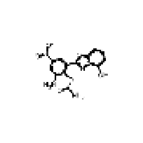 NC(=O)Oc1c(N)cc([N+](=O)[O-])cc1-c1nc2c(O)cccc2s1